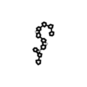 c1ccc(-c2cccc(-c3cccc(-c4ccc5sc6ccc(-c7ccc8oc9ccc(-n%10c%11ccccc%11c%11cc(-c%12ccccc%12)ccc%11%10)cc9c8c7)cc6c5c4)c3)c2)cc1